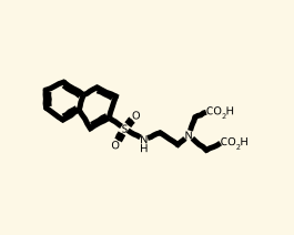 O=C(O)CN(CCNS(=O)(=O)c1ccc2ccccc2c1)CC(=O)O